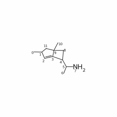 CC1C=C2C(C(C)N)CC2(C)C1